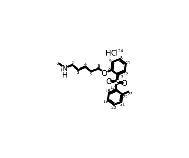 CNCCCCCOc1ccccc1S(=O)(=O)c1ccccc1C.Cl